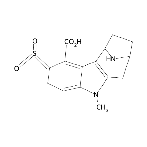 Cn1c2c(c3c1=CCC(=S(=O)=O)C=3C(=O)O)C1CCC(C2)N1